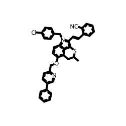 CC1Cc2c(OCc3ccc(-c4ccccc4)cn3)ccc3c2c(c(C=Cc2ccccc2C#N)n3Cc2ccc(Cl)cc2)S1